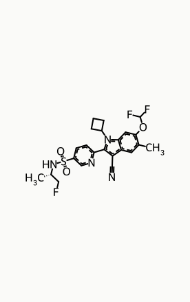 Cc1cc2c(C#N)c(-c3ccc(S(=O)(=O)N[C@@H](C)CF)cn3)n(C3CCC3)c2cc1OC(F)F